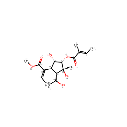 C/C=C(\C)C(=O)O[C@H]1[C@@H](O)[C@H](/C(=C\C)C(=O)OC)[C@H](C(C)O)[C@@]1(C)O